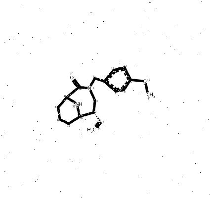 C=C[C@H]1CN(Cc2ccc(OC)cc2)C(=O)C2CCCC1N2